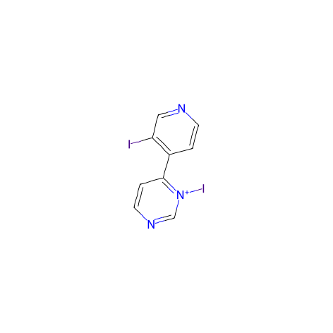 Ic1cnccc1-c1ccnc[n+]1I